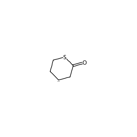 O=C1C[C]CCS1